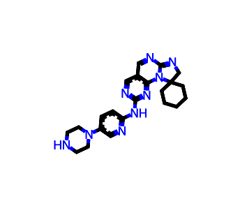 C1=NC2=NCC3(CCCCC3)N2c2nc(Nc3ccc(N4CCNCC4)cn3)ncc21